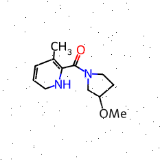 COC1CCN(C(=O)C2=C(C)C=CCN2)C1